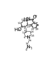 CN(C)CCN1CC=C(c2c(O)ccc3[nH]c(=O)c4sccc4c23)CC1